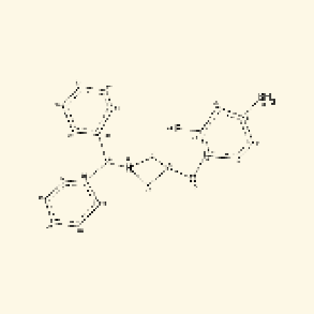 Bc1ccc(OC2CN(C(c3ccccc3)c3ccccc3)C2)c(F)c1